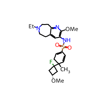 CCN1CCc2cc(NS(=O)(=O)C3=CCC(C)([C@]4(F)C[C@H](OC)C4)C=C3)c(OC)nc2CC1